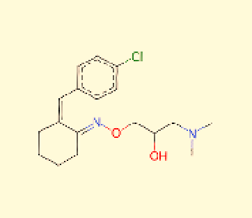 CN(C)CC(O)CON=C1CCCCC1=Cc1ccc(Cl)cc1